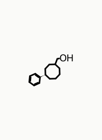 OCC1CCCC[C@H](c2ccccc2)CC1